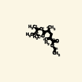 C=C(CC(C)C(=O)OC(C)N(C)C)C(=O)OCC